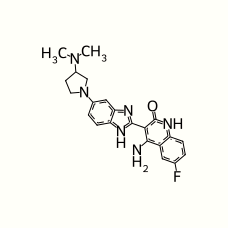 CN(C)C1CCN(c2ccc3[nH]c(-c4c(N)c5cc(F)ccc5[nH]c4=O)nc3c2)C1